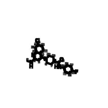 CNc1cc(N2CCN(C(=O)Nc3ccc(F)cc3)CC2)c2ccc(Cl)cc2n1